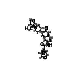 C[C@@]1(N2CCC(c3cc4cc(NC(=O)C5[C@@H]6CCOC[C@@H]56)ncc4cc3Cl)CC2)CCOC1